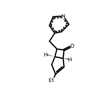 CCC1=C[C@@H]2C(=O)C(Cc3ccncc3)[C@@H]2C1